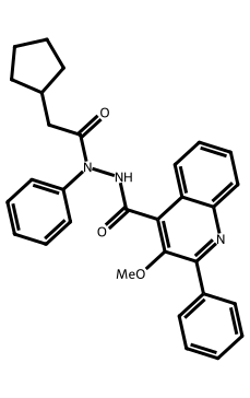 COc1c(-c2ccccc2)nc2ccccc2c1C(=O)NN(C(=O)CC1CCCC1)c1ccccc1